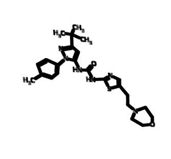 Cc1ccc(-n2nc(C(C)(C)C)cc2NC(=O)Nc2ncc(CCN3CCOCC3)s2)cc1